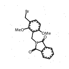 COc1ccc(CBr)c(OC)c1CN1C(=O)c2ccccc2C1=O